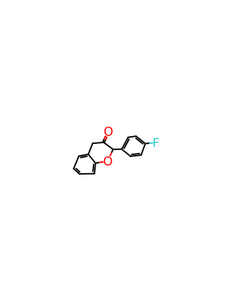 O=C1Cc2ccccc2OC1c1ccc(F)cc1